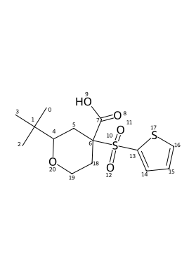 CC(C)(C)C1CC(C(=O)O)(S(=O)(=O)c2cccs2)CCO1